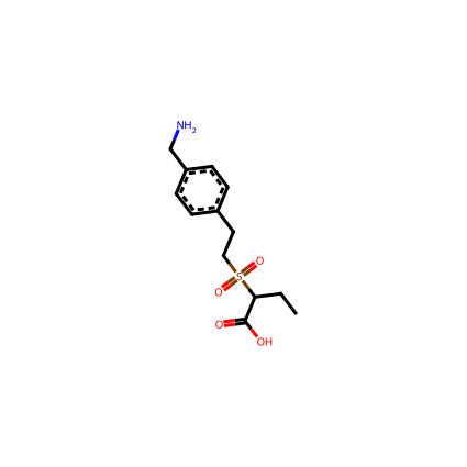 CCC(C(=O)O)S(=O)(=O)CCc1ccc(CN)cc1